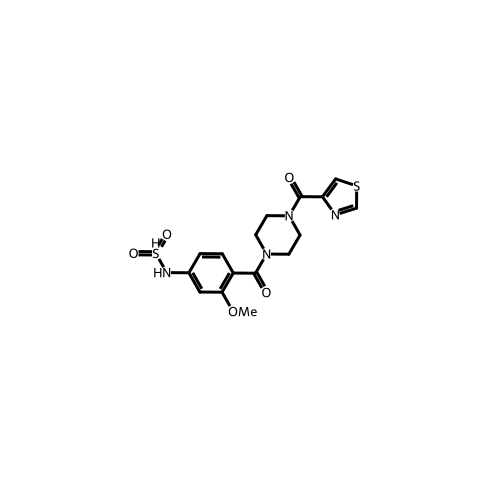 COc1cc(N[SH](=O)=O)ccc1C(=O)N1CCN(C(=O)c2cscn2)CC1